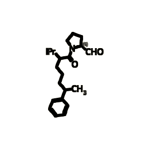 CC(CCCC(C(=O)N1CCC[C@H]1C=O)C(C)C)c1ccccc1